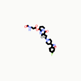 Cc1nc2n(c(=O)c1CCN1CCC(c3noc4cc(F)ccc34)CC1)CCCC2OC(=O)CCNC=O